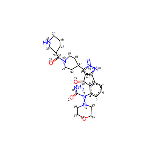 NC(=O)N(c1cccc2c1C(=O)c1c-2n[nH]c1C1CCN(C(=O)C2CCCNC2)CC1)N1CCOCC1